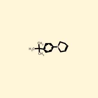 CC(C)(C)c1ccc(N2CC=[C]CC2)cc1